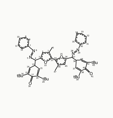 Cc1cc(C(/N=N/c2ccccc2)C2C=C(C(C)(C)C)C(=O)C(C(C)(C)C)=C2)oc1-c1oc(C(/N=N/c2ccccc2)C2C=C(C(C)(C)C)C(=O)C(C(C)(C)C)=C2)cc1C